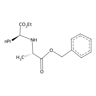 CCC[C@H](N[C@@H](C)C(=O)OCc1ccccc1)C(=O)OCC